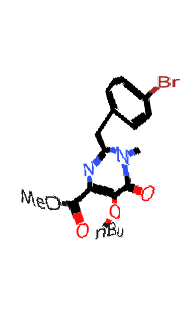 CCCCOc1c(C(=O)OC)nc(Cc2ccc(Br)cc2)n(C)c1=O